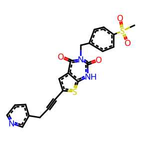 CS(=O)(=O)c1ccc(Cn2c(=O)[nH]c3sc(C#CCc4cccnc4)cc3c2=O)cc1